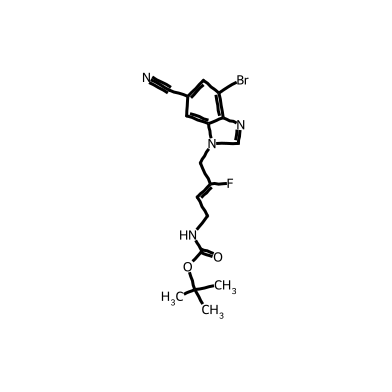 CC(C)(C)OC(=O)NCC=C(F)Cn1cnc2c(Br)cc(C#N)cc21